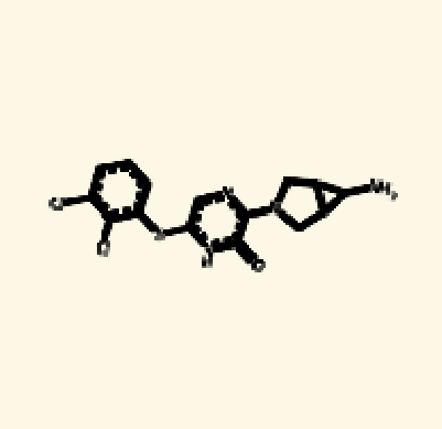 NC1C2CN(c3ncc(Sc4cccc(Cl)c4Cl)[nH]c3=O)CC12